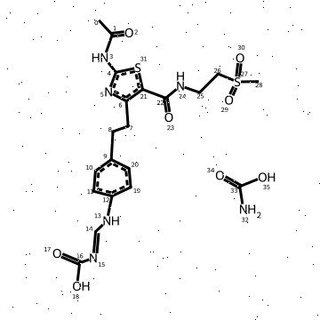 CC(=O)Nc1nc(CCc2ccc(NC=NC(=O)O)cc2)c(C(=O)NCCS(C)(=O)=O)s1.NC(=O)O